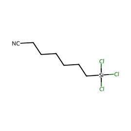 N#CCCCCCC[Si](Cl)(Cl)Cl